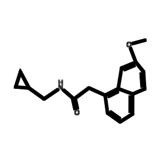 COc1ccc2cccc(CC(=O)NCC3CC3)c2c1